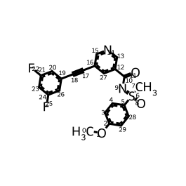 COc1ccc(S(C)(=O)=NC(=O)c2cncc(C#Cc3cc(F)cc(F)c3)c2)cc1